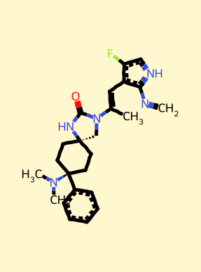 C=Nc1[nH]cc(F)c1/C=C(\C)N1C[C@]2(CC[C@](c3ccccc3)(N(C)C)CC2)NC1=O